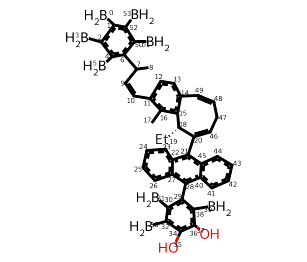 Bc1c(B)c(B)c(C(C)/C=C\c2ccc3c(c2C)[C@@H](CC)/C(c2c4ccccc4c(-c4c(B)c(B)c(O)c(O)c4B)c4ccccc24)=C\C/C=C\3)c(B)c1B